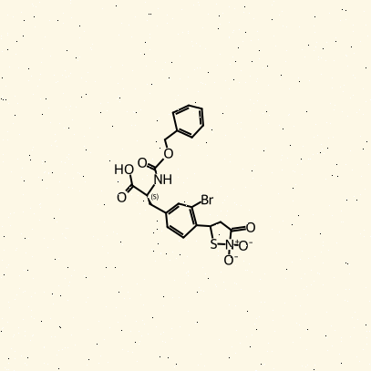 O=C(N[C@@H](Cc1ccc(C2CC(=O)[N+]([O-])([O-])S2)c(Br)c1)C(=O)O)OCc1ccccc1